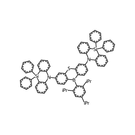 CC(C)c1cc(C(C)C)c(B2c3ccc(N4c5ccccc5[Si](c5ccccc5)(c5ccccc5)c5ccccc54)cc3Sc3cc(N4c5ccccc5[Si](c5ccccc5)(c5ccccc5)c5ccccc54)ccc32)c(C(C)C)c1